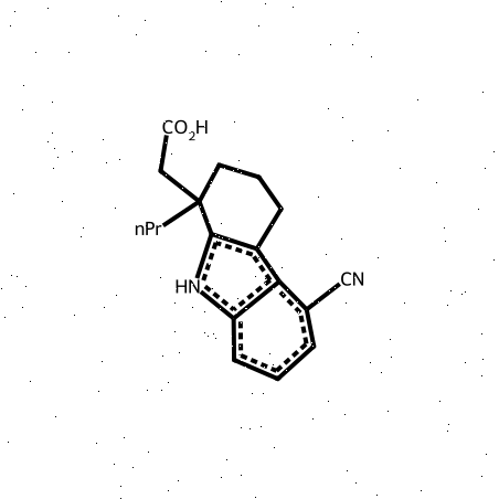 CCCC1(CC(=O)O)CCCc2c1[nH]c1cccc(C#N)c21